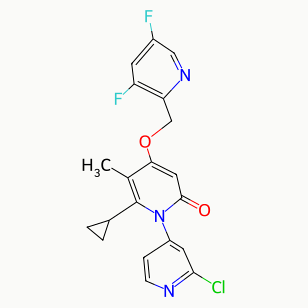 Cc1c(OCc2ncc(F)cc2F)cc(=O)n(-c2ccnc(Cl)c2)c1C1CC1